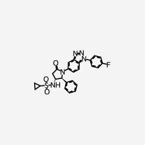 O=C1C[C@@H](NS(=O)(=O)C2CC2)[C@H](c2ccccc2)N1c1ccc2c(c1)nnn2-c1ccc(F)cc1